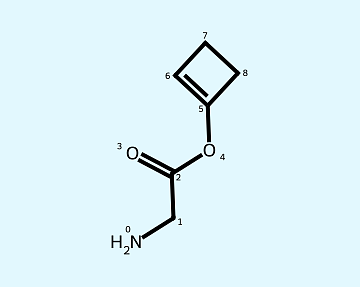 NCC(=O)OC1=CCC1